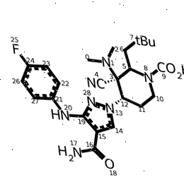 CN(C)[C@@]1(C#N)C(CC(C)(C)C)N(C(=O)O)CC[C@@H]1n1cc(C(N)=O)c(Nc2ccc(F)cc2)n1